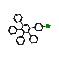 Brc1ccc(-c2cc(-c3ccccc3)c(-c3ccccc3)c(-c3ccccc3)c2-c2ccccc2)cc1